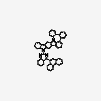 c1ccc2c(c1)-c1ccccc1-n1c3cc4c5ccccc5n(-c5nc(-c6cc7ccccc7c7ccccc67)c6ccccc6n5)c4cc3c3cccc-2c31